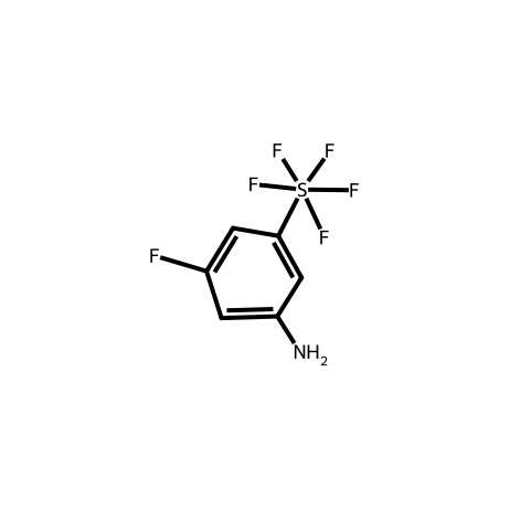 Nc1cc(F)cc(S(F)(F)(F)(F)F)c1